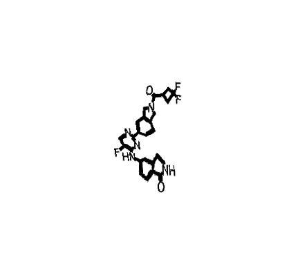 O=C(C1CC(F)(F)C1)N1Cc2ccc(-c3ncc(F)c(Nc4ccc5c(=O)[nH]ccc5c4)n3)cc2C1